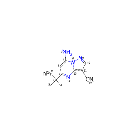 CCCC(C)(C)c1cc(N)n2ncc(C#N)c2n1